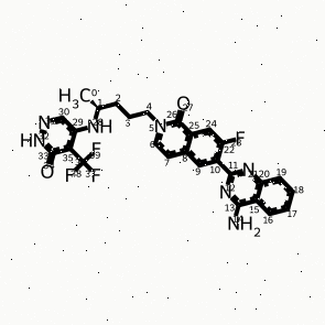 C[C@@H](CCCn1ccc2cc(-c3nc(N)c4ccccc4n3)c(F)cc2c1=O)Nc1cn[nH]c(=O)c1C(F)(F)F